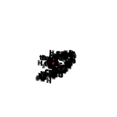 CC(=O)N[C@H](C(=O)N1C[C@H](O)C[C@H]1C(=O)N[C@@H](C)c1ccc(-c2scnc2C(=O)NC2CCC(N3CCN(C(=O)c4cn(-c5cc(C)[nH]n5)c5nc(N[C@@H](C)c6ccc(F)cn6)ccc45)CC3)C2)cc1)C(C)(C)C